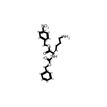 NCCCC[C@@H](NC(=O)OCc1ccccc1)C(=O)OCc1ccc([N+](=O)[O-])cc1